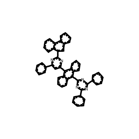 c1ccc(-c2cc(-c3c4ccccc4c(-c4nc(-c5ccccc5)nc(-c5ccccc5)n4)c4ccccc34)nc(-c3cc4ccccc4c4ccccc34)n2)cc1